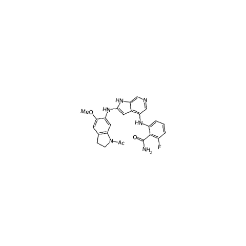 COc1cc2c(cc1Nc1cc3c(Nc4cccc(F)c4C(N)=O)cncc3[nH]1)N(C(C)=O)CC2